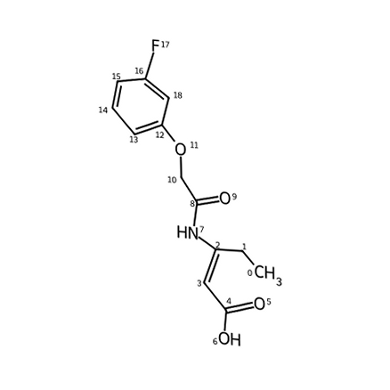 CC/C(=C\C(=O)O)NC(=O)COc1cccc(F)c1